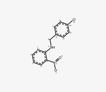 O=[N+]([O-])c1cccnc1NCc1ccc(Cl)cc1